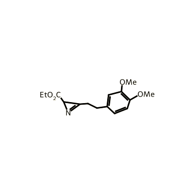 CCOC(=O)C1N=C1CCc1ccc(OC)c(OC)c1